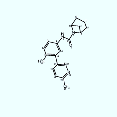 Cc1ccc(NC(=O)N2C3CCCC2C3)cc1-c1ccc(C(F)(F)F)nn1